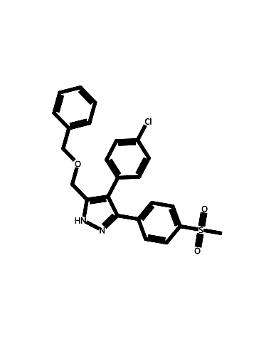 CS(=O)(=O)c1ccc(-c2n[nH]c(COCc3ccccc3)c2-c2ccc(Cl)cc2)cc1